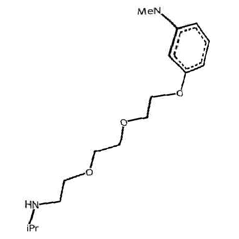 CNc1cccc(OCCOCCOCCNC(C)C)c1